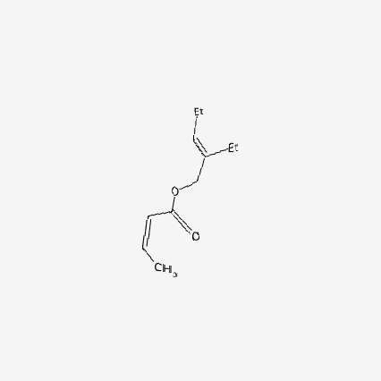 C/C=C\C(=O)OCC(=CCC)CC